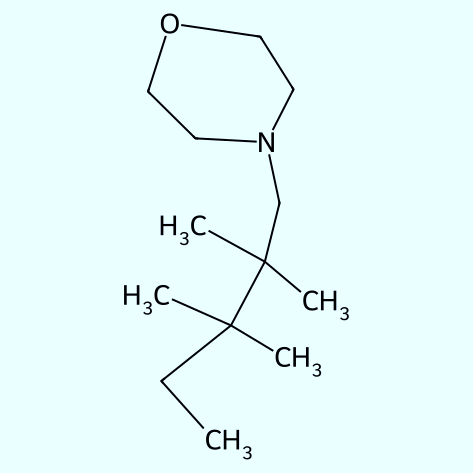 CCC(C)(C)C(C)(C)CN1CCOCC1